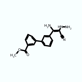 COC(=O)c1cccc(-c2cccc(/C(N)=C(\C#N)NN)c2)c1